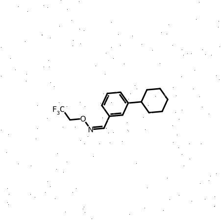 FC(F)(F)CO/N=[C]\c1cccc(C2CCCCC2)c1